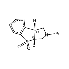 CC(C)N1C[C@H]2c3ccccc3S(=O)(=O)[C@H]2C1